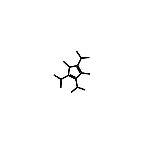 CC1=C(C(C)C)C(C)C(C(C)C)=C1C(C)C